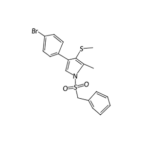 CSc1c(-c2ccc(Br)cc2)cn(S(=O)(=O)Cc2ccccc2)c1C